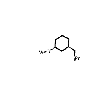 CO[C@H]1CCC[C@@H](CC(C)C)C1